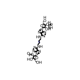 O=PO[C@@H]1[C@H](O)[C@@H](CO)O[C@H]1n1cnc2c(NC/C=C/CNc3ncnc4c3ncn4[C@@H]3O[C@H](CO)[C@@H](O[PH](=O)S)[C@H]3O)ncnc21